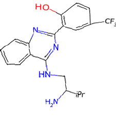 CC(C)C(N)CNc1nc(-c2cc(C(F)(F)F)ccc2O)nc2ccccc12